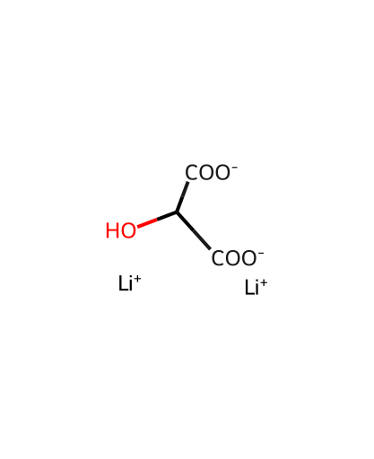 O=C([O-])C(O)C(=O)[O-].[Li+].[Li+]